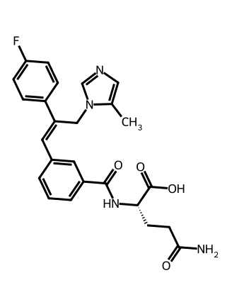 Cc1cncn1CC(=Cc1cccc(C(=O)N[C@@H](CCC(N)=O)C(=O)O)c1)c1ccc(F)cc1